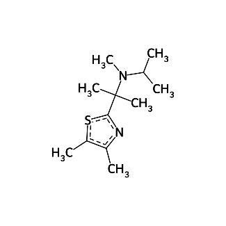 Cc1nc(C(C)(C)N(C)C(C)C)sc1C